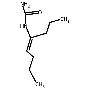 CCC/C=C(\CCC)NC(N)=O